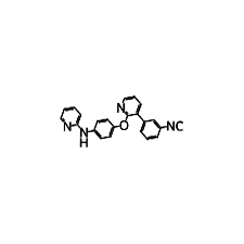 [C-]#[N+]c1cccc(-c2cccnc2Oc2ccc(Nc3ccccn3)cc2)c1